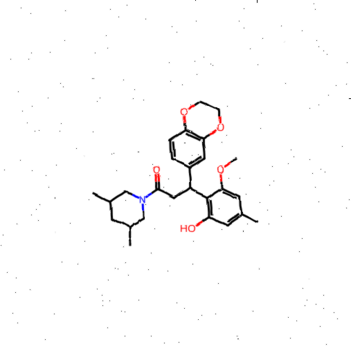 COc1cc(C)cc(O)c1C(CC(=O)N1CC(C)CC(C)C1)c1ccc2c(c1)OCCO2